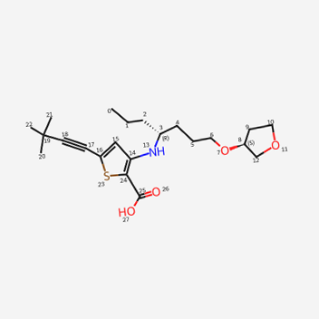 CCC[C@H](CCCO[C@H]1CCOC1)Nc1cc(C#CC(C)(C)C)sc1C(=O)O